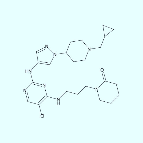 O=C1CCCCN1CCCNc1nc(Nc2cnn(C3CCN(CC4CC4)CC3)c2)ncc1Cl